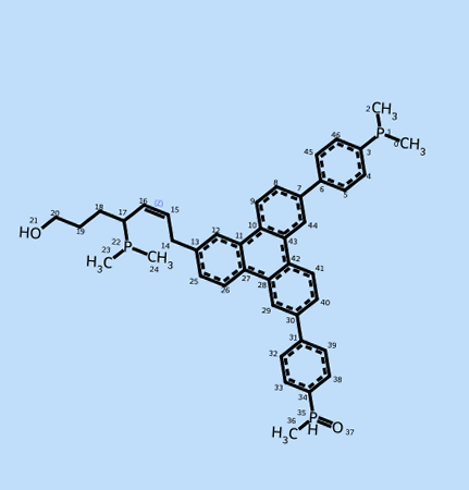 CP(C)c1ccc(-c2ccc3c4cc(C/C=C\C(CCCO)P(C)C)ccc4c4cc(-c5ccc([PH](C)=O)cc5)ccc4c3c2)cc1